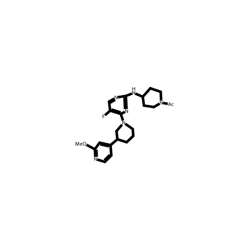 COc1cc(C2CCCN(c3nc(NC4CCN(C(C)=O)CC4)ncc3F)C2)ccn1